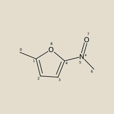 Cc1ccc([N+](C)=O)o1